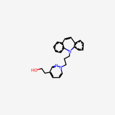 OCCC1=CC=CN(CCCN2c3ccccc3C=Cc3ccccc32)N=C1